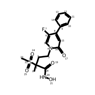 CC(CCn1cc(F)c(-c2ccccc2)cc1=O)(C(=O)NO)S(C)(=O)=O